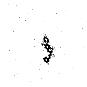 CCN1CC(C(=O)C=Cc2ccccc2)=Cc2cc(F)c(N3CCN(C)CC3)cc21